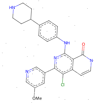 COc1cncc(-c2nc(Nc3ccc(C4CCNCC4)cc3)c3c(c2Cl)C=C[N]C3=O)c1